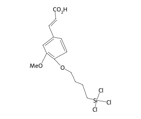 COc1cc(C=CC(=O)O)ccc1OCCCC[Si](Cl)(Cl)Cl